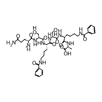 CN[C@@H](CCC(N)=O)C(=O)N[C@@H](CO)C(=O)N[C@@H](CCCCNC(=O)c1ccccc1)C(=O)N[C@@H](CO)C(=O)N[C@@H](CCCCNC(=O)c1ccccc1)C(=O)N[C@@H](C)C(=O)O